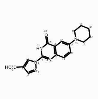 O=C(O)c1cnn(-c2nc3ccc(N4CCCCC4)cc3c(=O)[nH]2)c1